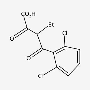 CCC(C(=O)C(=O)O)C(=O)c1c(Cl)cccc1Cl